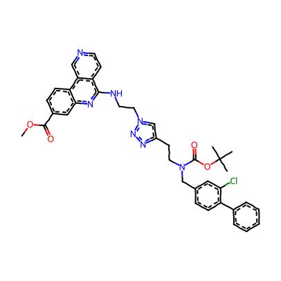 COC(=O)c1ccc2c(c1)nc(NCCn1cc(CCN(Cc3ccc(-c4ccccc4)c(Cl)c3)C(=O)OC(C)(C)C)nn1)c1ccncc12